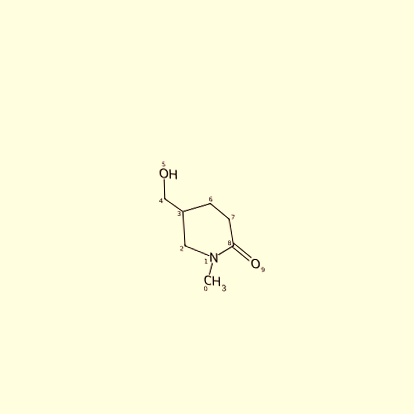 CN1CC(CO)CCC1=O